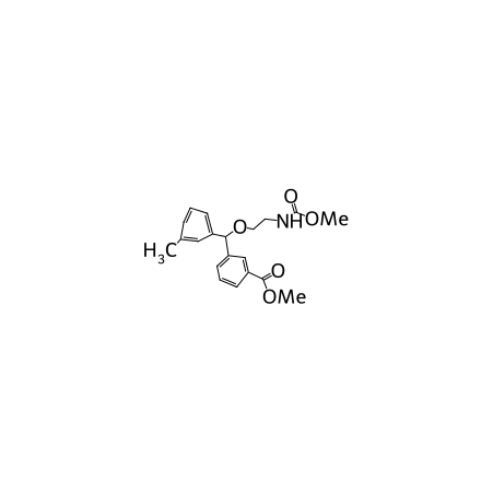 COC(=O)NCCOC(c1cccc(C)c1)c1cccc(C(=O)OC)c1